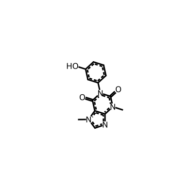 Cn1cnc2c1c(=O)n(-c1cccc(O)c1)c(=O)n2C